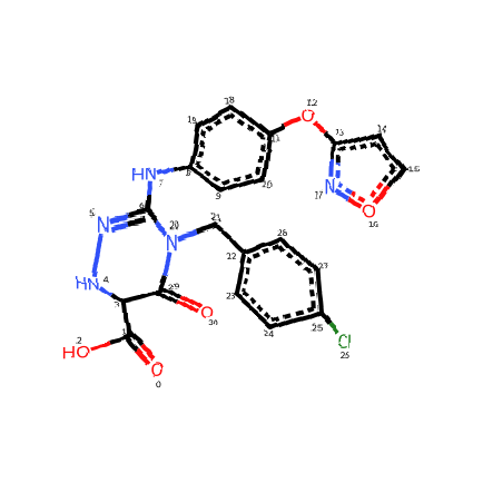 O=C(O)C1NN=C(Nc2ccc(Oc3ccon3)cc2)N(Cc2ccc(Cl)cc2)C1=O